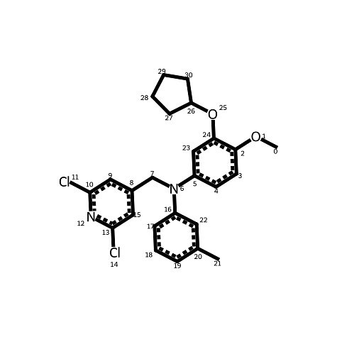 COc1ccc(N(Cc2cc(Cl)nc(Cl)c2)c2cccc(C)c2)cc1OC1CCCC1